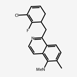 CNc1c(C)ccc2c(CC3CC=CC(Cl)=C3F)nccc12